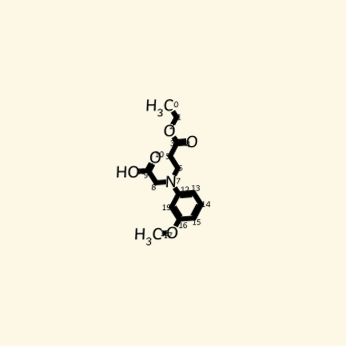 CCOC(=O)CCN(CC(=O)O)c1cccc(OC)c1